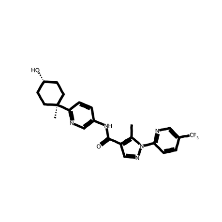 Cc1c(C(=O)Nc2ccc([C@]3(C)CC[C@@H](O)CC3)nc2)cnn1-c1ccc(C(F)(F)F)cn1